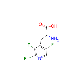 NC(Cc1c(F)cnc(Br)c1F)C(=O)O